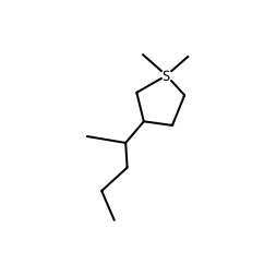 CCCC(C)C1CCS(C)(C)C1